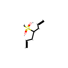 C=CCC(CC=C)S(C)(=O)=O